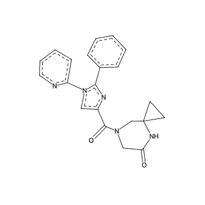 O=C1CN(C(=O)c2cn(-c3ccccn3)c(-c3ccccc3)n2)CC2(CC2)N1